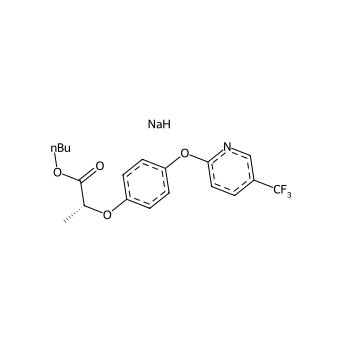 CCCCOC(=O)[C@@H](C)Oc1ccc(Oc2ccc(C(F)(F)F)cn2)cc1.[NaH]